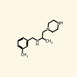 Cc1cc[c]c(CNC(C)CN2CCNCC2)c1